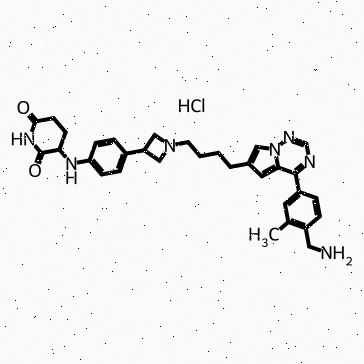 Cc1cc(-c2ncnn3cc(CCCCN4CC(c5ccc(NC6CCC(=O)NC6=O)cc5)C4)cc23)ccc1CN.Cl